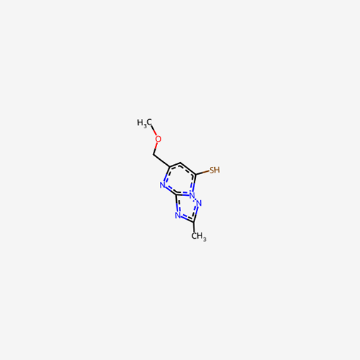 COCc1cc(S)n2nc(C)nc2n1